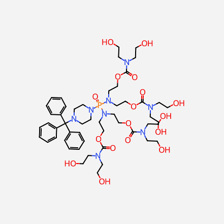 O=C(OCCN(CCOC(=O)N(CCO)CCO)P(=O)(N(CCOC(=O)N(CCO)CCO)CCOC(=O)N(CCO)CCO)N1CCN(C(c2ccccc2)(c2ccccc2)c2ccccc2)CC1)N(CCO)CCO